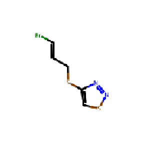 BrC=CCSc1csnn1